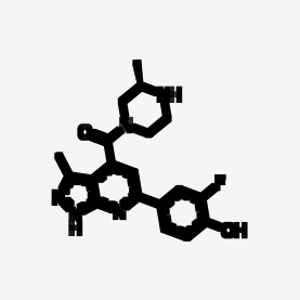 Cc1n[nH]c2nc(-c3ccc(O)c(F)c3)cc(C(=O)N3CCN[C@H](C)C3)c12